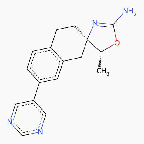 C[C@H]1OC(N)=N[C@@]12CCc1ccc(-c3cncnc3)cc1C2